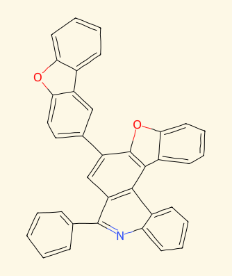 c1ccc(-c2nc3ccccc3c3c2cc(-c2ccc4oc5ccccc5c4c2)c2oc4ccccc4c23)cc1